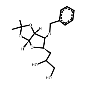 CC1(C)O[C@H]2O[C@H](CC(O)CO)[C@H](OCc3ccccc3)[C@H]2O1